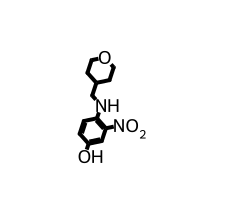 O=[N+]([O-])c1cc(O)ccc1NCC1CCOCC1